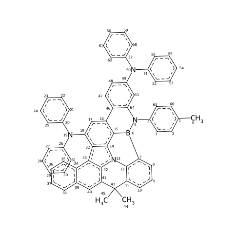 Cc1ccc(N2B3c4cccc5c4-n4c6c3c(cc(N(c3ccccc3)c3ccccc3)c6c3c6ccccc6cc(c34)C5(C)C)-c3ccc(N(c4ccccc4)c4ccccc4)cc32)cc1